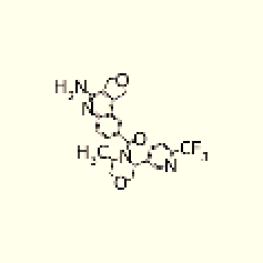 C[C@@H]1COC[C@H](c2ccc(C(F)(F)F)nc2)N1C(=O)c1ccc2nc(N)c3c(c2c1)COC3